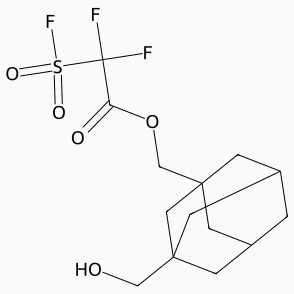 O=C(OCC12CC3CC(CC(CO)(C3)C1)C2)C(F)(F)S(=O)(=O)F